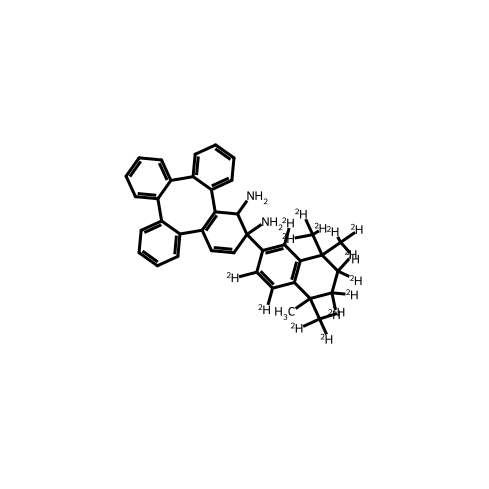 [2H]c1c([2H])c2c(c([2H])c1C1(N)C=CC3=C(c4ccccc4-c4ccccc4-c4ccccc43)C1N)C(C([2H])([2H])[2H])(C([2H])([2H])[2H])C([2H])([2H])C([2H])([2H])C2(C)C([2H])([2H])[2H]